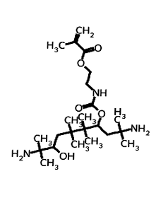 C=C(C)C(=O)OCCNC(=O)OC(CC(C)(C)N)C(C)(C)C(C)(C)CC(O)C(C)(C)N